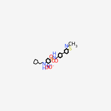 Cc1nc2cc(-c3ccc(C(=O)NS(=O)(=O)c4ccc(NCCC5CCCCC5)c([N+](=O)[O-])c4)cc3)ccc2s1